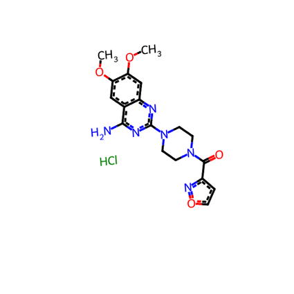 COc1cc2nc(N3CCN(C(=O)c4ccon4)CC3)nc(N)c2cc1OC.Cl